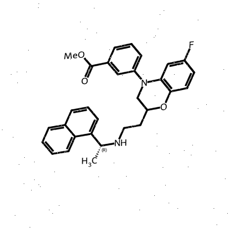 COC(=O)c1cccc(N2CC(CCN[C@H](C)c3cccc4ccccc34)Oc3ccc(F)cc32)c1